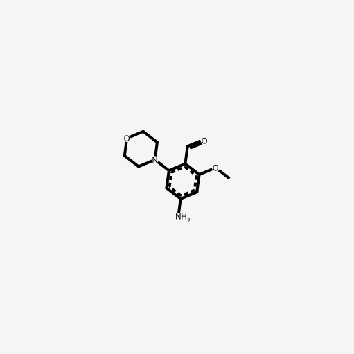 COc1cc(N)cc(N2CCOCC2)c1C=O